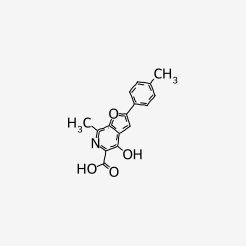 Cc1ccc(-c2cc3c(O)c(C(=O)O)nc(C)c3o2)cc1